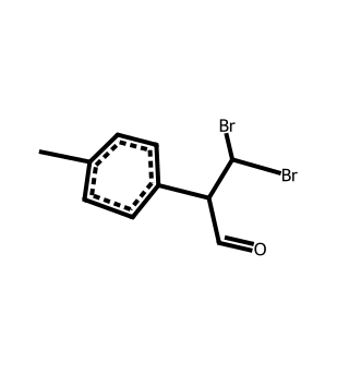 Cc1ccc(C(C=O)C(Br)Br)cc1